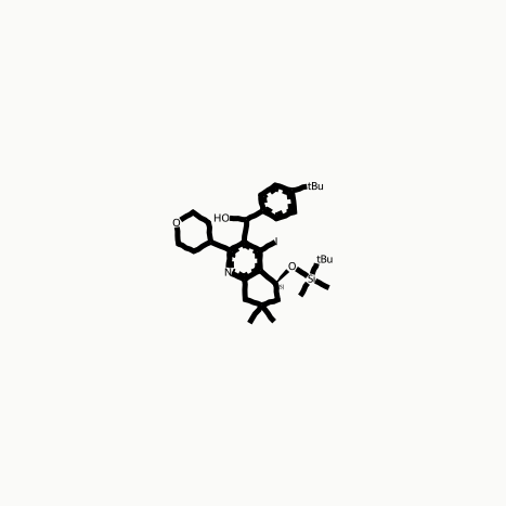 CC1(C)Cc2nc(C3CCOCC3)c(C(O)c3ccc(C(C)(C)C)cc3)c(I)c2[C@@H](O[Si](C)(C)C(C)(C)C)C1